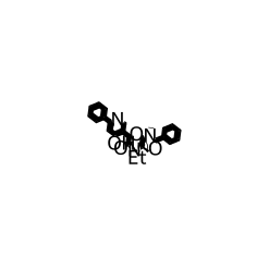 CCN(C(=O)C(=O)c1cnc(-c2ccccc2)cc1O)[C@H](C)CN(C)C(=O)c1ccccc1